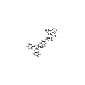 C[C@@H](N)C(=O)N[C@H](C)C(=O)NCCc1ccc(NC(=O)CN(Cc2ccccn2)Cc2ccccn2)cc1